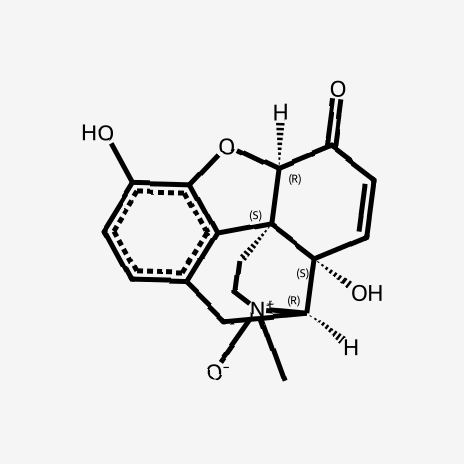 C[N+]1([O-])CC[C@]23c4c5ccc(O)c4O[C@H]2C(=O)C=C[C@@]3(O)[C@H]1C5